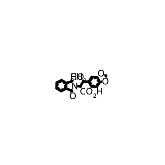 C=C1c2ccccc2C(=O)N1C(C(=O)O)C(O)c1ccc2c(c1)OCO2